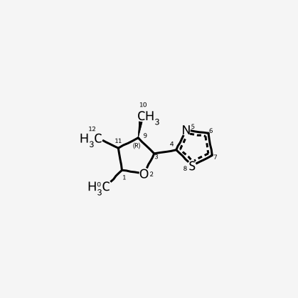 CC1OC(c2nccs2)[C@H](C)C1C